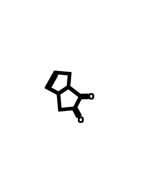 O=C1CC2C=CCC2C1=O